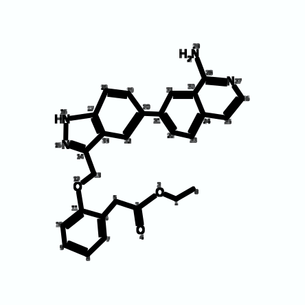 CCOC(=O)Cc1ccccc1OCc1n[nH]c2ccc(-c3ccc4ccnc(N)c4c3)cc12